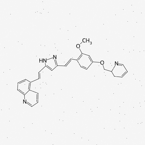 COc1cc(OCC2CC=CC=N2)ccc1/C=C/c1cc(/C=C/c2cccc3ncccc23)[nH]n1